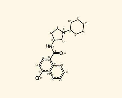 O=C(NC1CCN(C2CCCCC2)C1)c1ccc(Cl)c2ccccc12